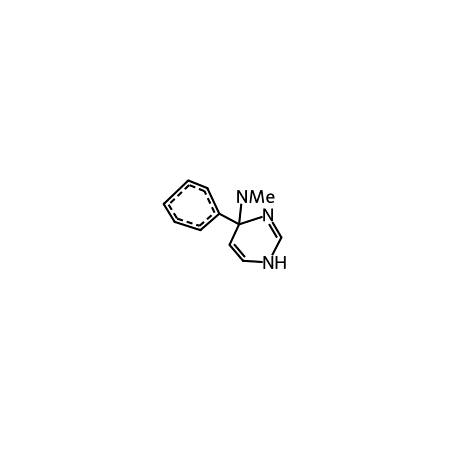 CNC1(c2ccccc2)C=CNC=N1